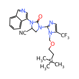 C[Si](C)(C)CCOCn1c(C(F)(F)F)cnc1N1CC(C#N)N(c2cncc3ccccc23)C1=O